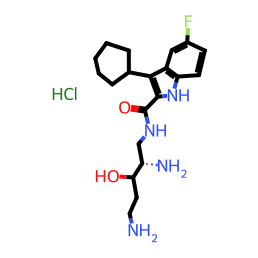 Cl.NCCC(O)[C@@H](N)CNC(=O)c1[nH]c2ccc(F)cc2c1C1CCCCC1